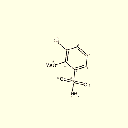 [2H]c1cccc(S(N)(=O)=O)c1OC